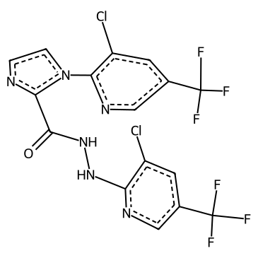 O=C(NNc1ncc(C(F)(F)F)cc1Cl)c1nccn1-c1ncc(C(F)(F)F)cc1Cl